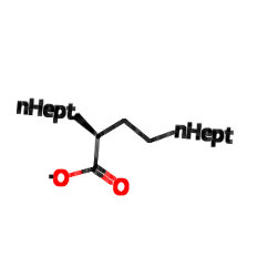 CCCCCCCCC[C@H](CCCCCCC)C([O])=O